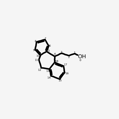 OCCCC1c2ccccc2CCc2ccccc21